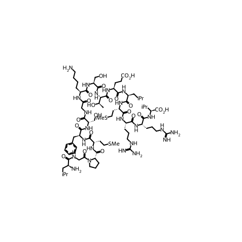 CSCC[C@H](NC(=O)[C@H](CC(C)C)NC(=O)[C@H](CCC(=O)O)NC(=O)[C@@H](NC(=O)[C@H](CO)NC(=O)[C@H](CCCCN)NC(=O)CNC(=O)[C@H](CO)NC(=O)[C@H](Cc1ccccc1)NC(=O)[C@H](CCSC)NC(=O)[C@@H]1CCCN1C(=O)CNC(=O)[C@@H](N)CC(C)C)[C@@H](C)O)C(=O)N[C@@H](CCCNC(=N)N)C(=O)N[C@@H](CCCNC(=N)N)C(=O)N[C@H](C(=O)O)C(C)C